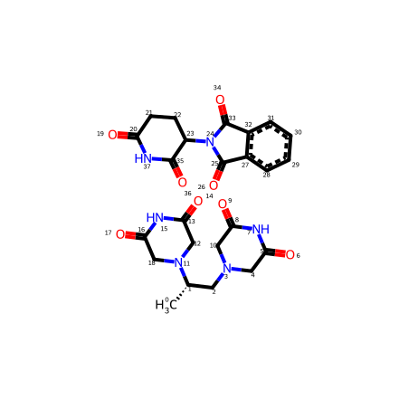 C[C@@H](CN1CC(=O)NC(=O)C1)N1CC(=O)NC(=O)C1.O=C1CCC(N2C(=O)c3ccccc3C2=O)C(=O)N1